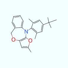 Cc1cc2c(o1)N(c1c(C)cc(C(C)(C)C)cc1C)c1ccccc1CO2